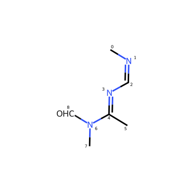 C/N=C\N=C(/C)N(C)C=O